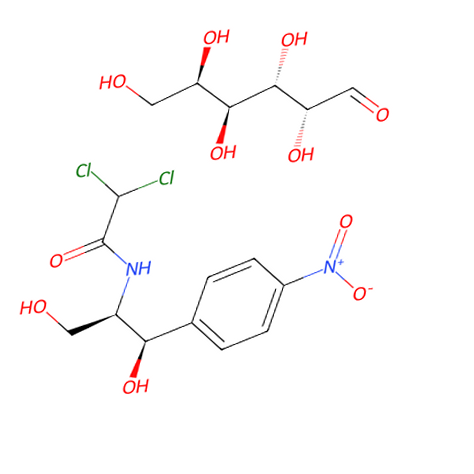 O=C(N[C@H](CO)[C@H](O)c1ccc([N+](=O)[O-])cc1)C(Cl)Cl.O=C[C@H](O)[C@@H](O)[C@@H](O)[C@H](O)CO